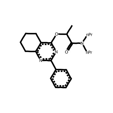 CCCN(CCC)C(=O)C(C)Oc1nc(-c2ccccc2)nc2c1CCCC2